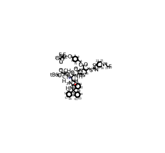 COc1ccc(COC(=O)C2=C(CSc3nc4c[n+](CCF)ccc4s3)CS[C@H]3C(NC(=O)/C(=N\OC(C)(C)C(=O)OC(C)(C)C)c4csc(NC(c5ccccc5)(c5ccccc5)c5ccccc5)n4)C(=O)N23)cc1.O=C([O-])C(F)(F)F